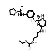 CCSC(=O)NCCCNC1=N[C@@](Br)(Nc2cccc(NC(=O)N3CCCC3)c2)NC=C1